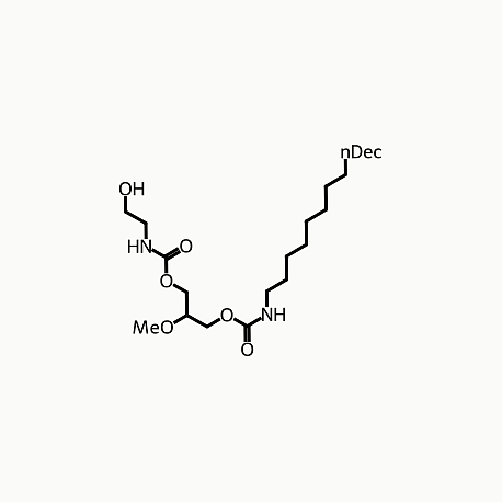 CCCCCCCCCCCCCCCCCCNC(=O)OCC(COC(=O)NCCO)OC